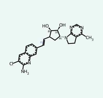 Cc1ncnc2c1CCN2[C@@H]1CC(/C=C/c2ccc3cc(Cl)c(N)nc3c2)[C@@H](O)[C@H]1O